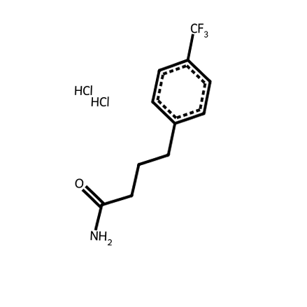 Cl.Cl.NC(=O)CCCc1ccc(C(F)(F)F)cc1